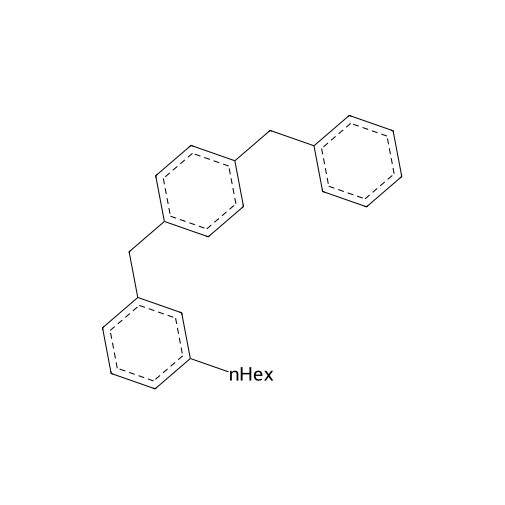 CCCCCCc1cccc(Cc2ccc(Cc3ccccc3)cc2)c1